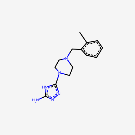 Cc1ccccc1CN1CCN(c2nnc(N)[nH]2)CC1